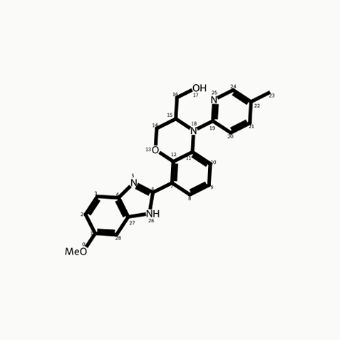 COc1ccc2nc(-c3cccc4c3OCC(CO)N4c3ccc(C)cn3)[nH]c2c1